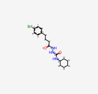 O=C(CCCc1ccc(Br)cc1)NNC(=O)NC1CCCCC1